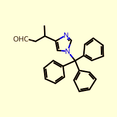 CC(CC=O)c1cn(C(c2ccccc2)(c2ccccc2)c2ccccc2)cn1